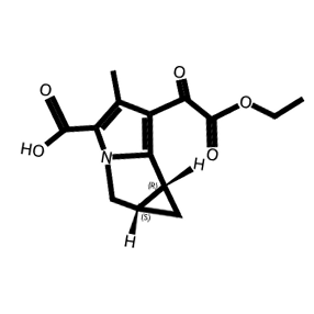 CCOC(=O)C(=O)c1c(C)c(C(=O)O)n2c1[C@@H]1C[C@@H]1C2